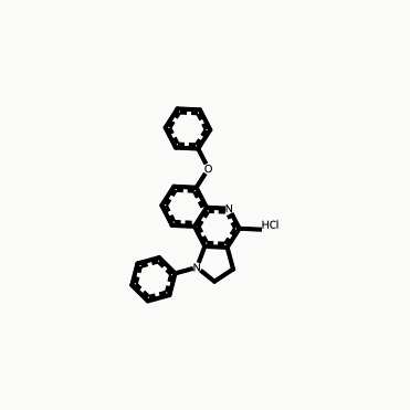 Cc1nc2c(Oc3ccccc3)cccc2c2c1CCN2c1ccccc1.Cl